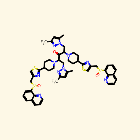 Cc1cc(C(F)(F)F)nn1CC(C(=O)C(Cn1nc(C(F)(F)F)cc1C)N1CCC(c2nc(C[S+]([O-])c3cccc4cccnc34)cs2)CC1)N1CCC(c2nc(C[S+]([O-])c3cccc4cccnc34)cs2)CC1